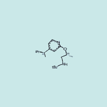 CC(C)[C@H](C)c1ccnc(O[C@H](C)CNC(C)(C)C)c1